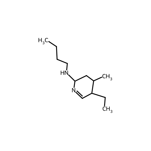 CCCCNC1CC(C)C(CC)C=N1